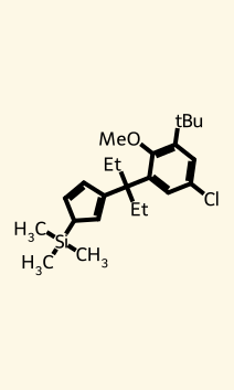 CCC(CC)(C1=CC([Si](C)(C)C)C=C1)c1cc(Cl)cc(C(C)(C)C)c1OC